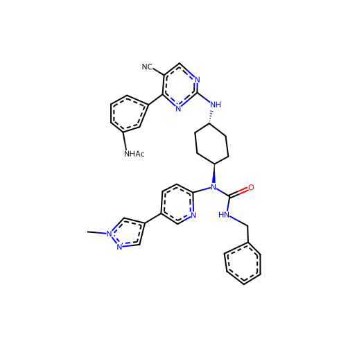 CC(=O)Nc1cccc(-c2nc(N[C@H]3CC[C@H](N(C(=O)NCc4ccccc4)c4ccc(-c5cnn(C)c5)cn4)CC3)ncc2C#N)c1